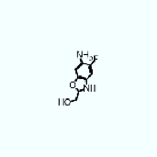 Nc1cc2c(cc1F)NC(CO)O2